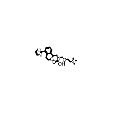 C[Si](C)(C)CCOCN(CC1OCCc2c(-c3ncco3)cccc21)C(=O)O